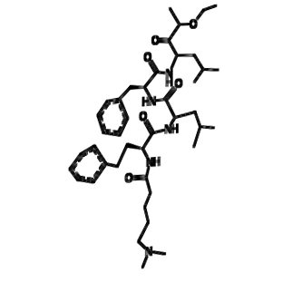 CCOC(C)C(=O)C(CC(C)C)NC(=O)[C@H](Cc1ccccc1)NC(=O)C(CC(C)C)NC(=O)[C@H](CCc1ccccc1)NC(=O)CCCCN(C)C